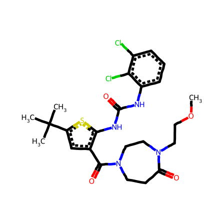 COCCN1CCN(C(=O)c2cc(C(C)(C)C)sc2NC(=O)Nc2cccc(Cl)c2Cl)CCC1=O